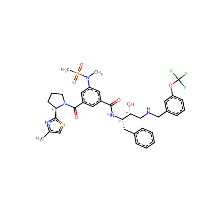 Cc1csc([C@H]2CCCN2C(=O)c2cc(C(=O)N[C@@H](Cc3ccccc3)[C@H](O)CNCc3cccc(OC(F)(F)F)c3)cc(N(C)S(C)(=O)=O)c2)n1